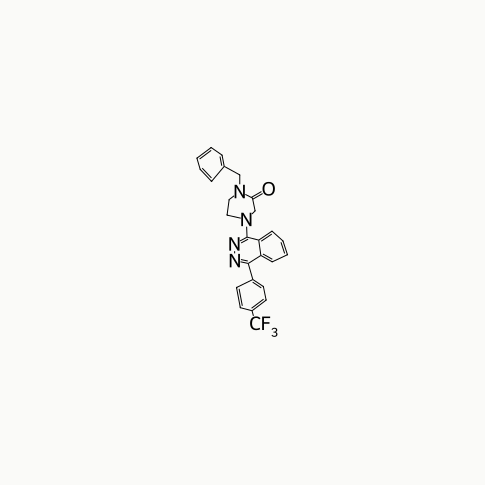 O=C1CN(c2nnc(-c3ccc(C(F)(F)F)cc3)c3ccccc23)CCN1Cc1ccccc1